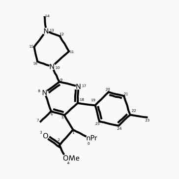 CCCC(C(=O)OC)c1c(C)nc(N2CCN(C)CC2)nc1-c1ccc(C)cc1